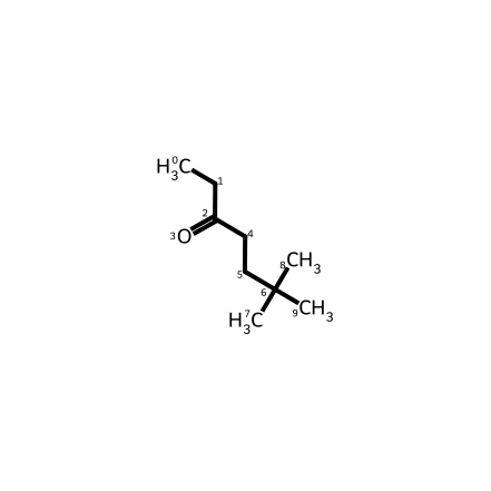 CCC(=O)CCC(C)(C)C